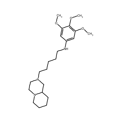 COc1cc(NCCCCCN2CCN3CCCCC3C2)cc(OC)c1OC